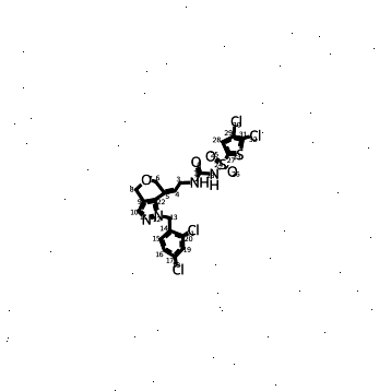 O=C(NC/C=C1\COCc2cnn(Cc3ccc(Cl)cc3Cl)c21)NS(=O)(=O)c1cc(Cl)c(Cl)s1